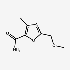 COCc1nc(C)c(C(N)=O)o1